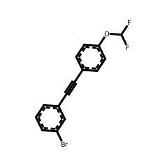 FC(F)Oc1ccc(C#Cc2cccc(Br)c2)cc1